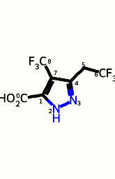 O=C(O)c1[nH]nc(CC(F)(F)F)c1C(F)(F)F